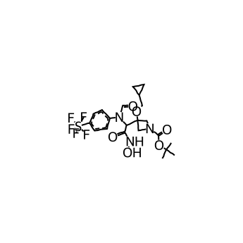 CC(C)(C)OC(=O)N1CC(OCC2CC2)(C(C(=O)NO)N(C=O)c2ccc(S(F)(F)(F)(F)F)cc2)C1